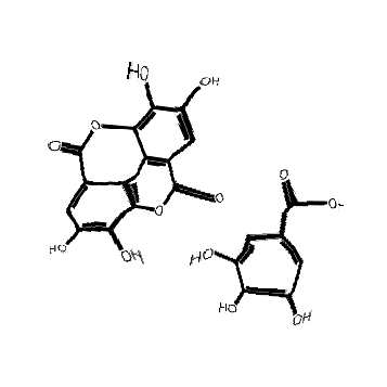 O=C(O)c1cc(O)c(O)c(O)c1.O=c1oc2c(O)c(O)cc3c(=O)oc4c(O)c(O)cc1c4c23